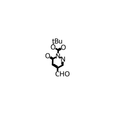 CC(C)(C)OC(=O)n1ncc(C=O)cc1=O